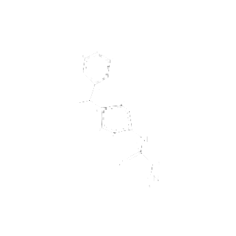 CC(c1ccccc1)c1ccc(NC(=O)CC#N)cc1